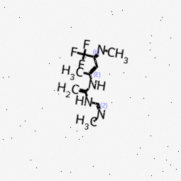 C=C(N/C=N\C)N/C(C)=C/C(=N\C)C(F)(F)F